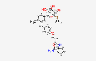 CS[C@H]1OC(c2ccc(C)c(Cc3ccc(OCCCNC4(C(N)=O)CCCC4)cc3)c2)[C@H](O)[C@@H](O)[C@@H]1O